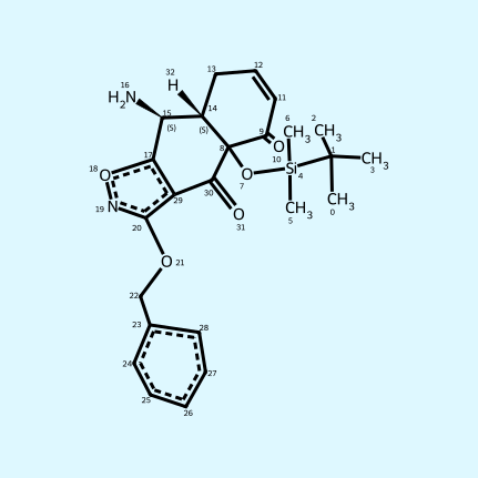 CC(C)(C)[Si](C)(C)OC12C(=O)C=CC[C@H]1[C@H](N)c1onc(OCc3ccccc3)c1C2=O